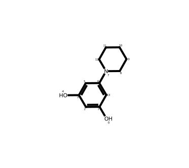 Oc1cc(O)cc(N2CCCCC2)c1